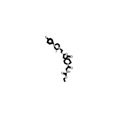 CCOC(=O)NCC(=O)N1CCC2(CC1)C[C@H](CCN1CCN(c3ccc(F)cc3)C[C@H]1C)OC2=O